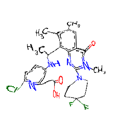 Cc1cc2c(=O)n(C)c(N3CCC(F)(F)CC3)nc2c(C(C)Nc2ccc(Cl)nc2C(=O)O)c1C